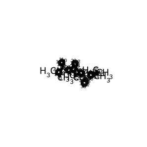 Cc1cc(C)cc(N(c2ccccc2)c2ccc3c4c(c5ccccc5c3c2)-c2ccc(N(c3ccccc3)c3ccc(C(C)(C)C)cc3)cc2C4(C)C)c1